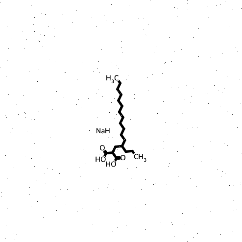 CCCCCCCCCCCCC(CCC)CC(C(=O)O)C(=O)O.[NaH]